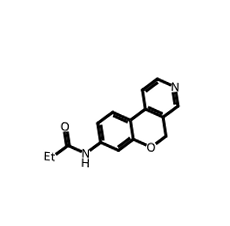 CCC(=O)Nc1ccc2c(c1)OCc1cnccc1-2